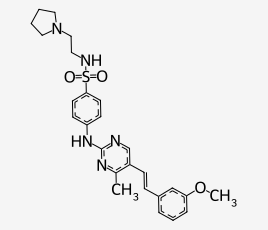 COc1cccc(/C=C/c2cnc(Nc3ccc(S(=O)(=O)NCCN4CCCC4)cc3)nc2C)c1